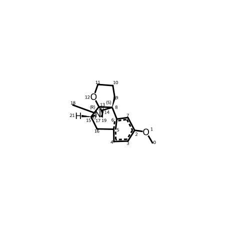 COc1ccc2c(c1)[C@@]13CCCO[C@@]1(C)[C@@H](C2)N(C)CC3